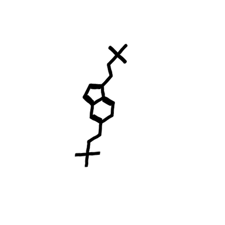 CC(C)(C)CCC1=CC2=CC=C(CCC(C)(C)C)C2=CC1